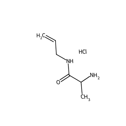 C=CCNC(=O)C(C)N.Cl